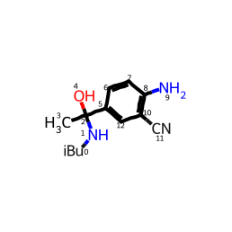 CCC(C)NC(C)(O)c1ccc(N)c(C#N)c1